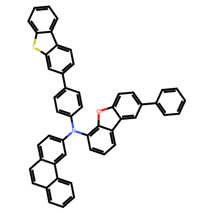 c1ccc(-c2ccc3oc4c(N(c5ccc(-c6ccc7c(c6)sc6ccccc67)cc5)c5ccc6ccc7ccccc7c6c5)cccc4c3c2)cc1